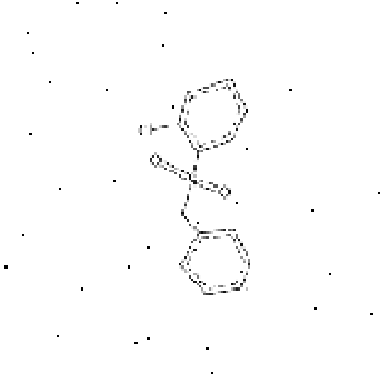 O=S(=O)(Cc1cc[c]cc1)c1ccccc1Cl